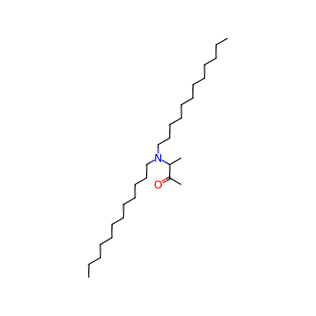 CCCCCCCCCCCCN(CCCCCCCCCCCC)C(C)C(C)=O